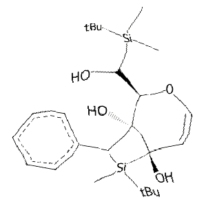 CC(C)(C)[Si](C)(C)C(O)[C@H]1OC=C[C@](O)([Si](C)(C)C(C)(C)C)[C@@]1(O)Cc1ccccc1